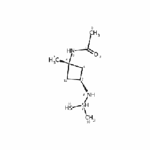 CC(=O)N[C@]1(C)C[C@@H](N[SH](C)S)C1